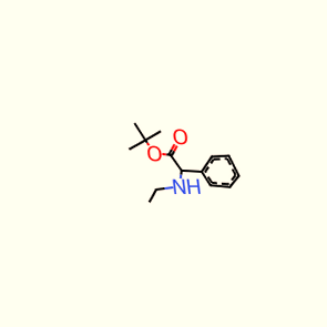 CCNC(C(=O)OC(C)(C)C)c1ccccc1